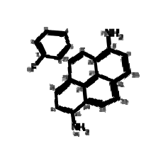 Fc1ccccc1.Nc1ccc2ccc3c(N)ccc4ccc1c2c43